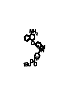 CC(C)(C)OC(=O)N1CCC(c2nnc3ccc(O[C@@H]4CC[C@H](N)c5ccccc54)cn23)CC1